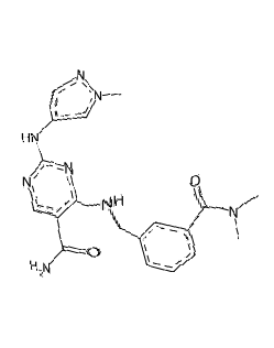 CN(C)C(=O)c1cccc(CNc2nc(Nc3cnn(C)c3)ncc2C(N)=O)c1